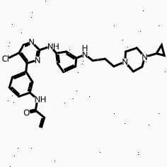 C=CC(=O)Nc1cccc(-c2nc(Nc3cccc(NCCCN4CCN(C5CC5)CC4)c3)ncc2Cl)c1